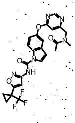 CC(=O)N(C)Cc1cc(Oc2ccc3c(ccn3C(=O)Nc3cc(C4(C(F)(F)F)CC4)on3)c2)ncn1